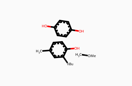 CCCCc1cc(C)ccc1O.COC.Oc1ccc(O)cc1